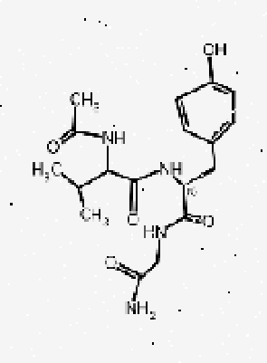 CC(=O)NC(C(=O)N[C@@H](Cc1ccc(O)cc1)C(=O)NCC(N)=O)C(C)C